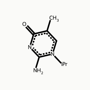 Cc1cn(C(C)C)c(N)nc1=O